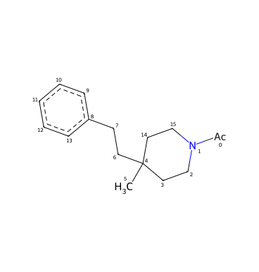 CC(=O)N1CCC(C)(CCc2ccccc2)CC1